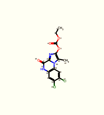 CCOC(=O)Oc1nc2c(=O)[nH]c3cc(Cl)c(Cl)cc3n2c1C